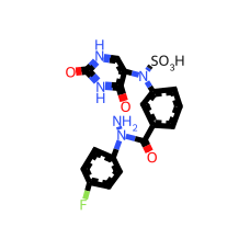 NN(C(=O)c1cccc(N(c2c[nH]c(=O)[nH]c2=O)S(=O)(=O)O)c1)c1ccc(F)cc1